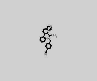 CC(NCc1ccc(C#N)cc1)c1c(-c2ccccc2)ccc2cncn12